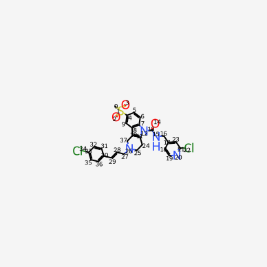 CS(=O)(=O)c1ccc2c(c1)c1c(n2C(=O)NCc2ccnc(Cl)c2)CCN(C/C=C/c2ccc(Cl)cc2)C1